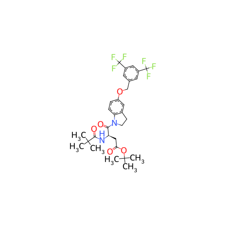 CC(C)(C)OC(=O)C[C@@H](NC(=O)C(C)(C)C)C(=O)N1CCc2cc(OCc3cc(C(F)(F)F)cc(C(F)(F)F)c3)ccc21